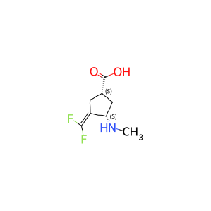 CN[C@H]1C[C@@H](C(=O)O)CC1=C(F)F